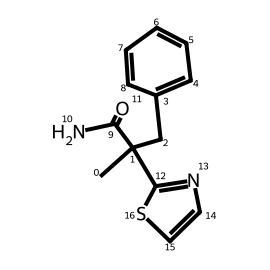 CC(Cc1ccccc1)(C(N)=O)c1nccs1